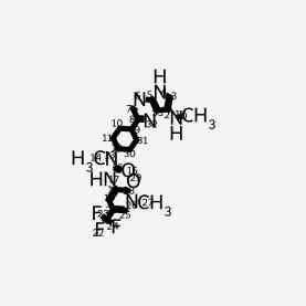 CNc1c[nH]c2ncc(C3CCC(N(C)C(=O)Nc4cc(C(F)(F)F)cn(C)c4=O)CC3)nc12